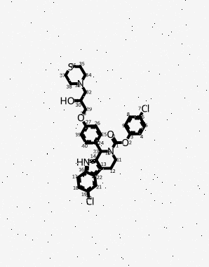 O=C(Oc1ccc(Cl)cc1)N1CCc2c([nH]c3ccc(Cl)cc23)C1c1ccc(OCC(O)CN2CCSCC2)cc1